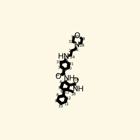 O=C(Nc1ccc(-c2ccccc2)c2c1C(=O)NC2)c1ccc(NCCCN2CCOCC2)cc1